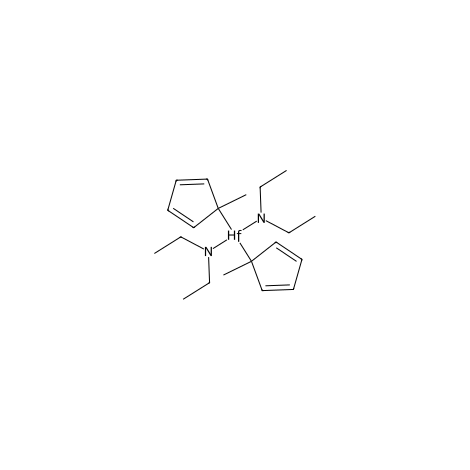 CC[N](CC)[Hf]([N](CC)CC)([C]1(C)C=CC=C1)[C]1(C)C=CC=C1